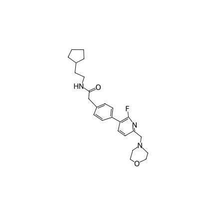 O=C(Cc1ccc(-c2ccc(CN3CCOCC3)nc2F)cc1)NCCC1CCCC1